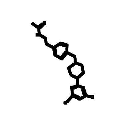 CC(=O)NCCc1ccc(CN2CCN(c3nc(Cl)cc(Cl)n3)CC2)cc1